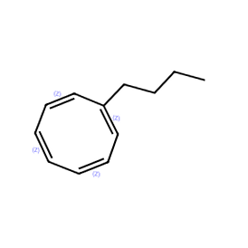 CCCCC1=C/C=C\C=C/C=C\1